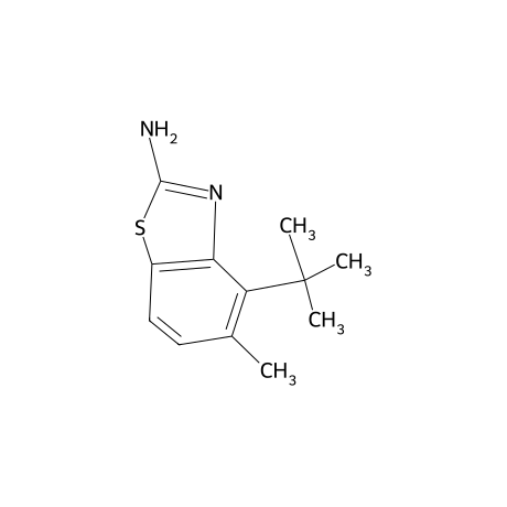 Cc1ccc2sc(N)nc2c1C(C)(C)C